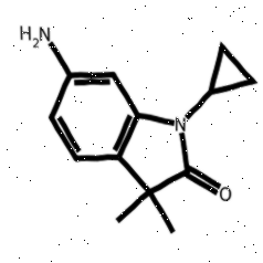 CC1(C)C(=O)N(C2CC2)c2cc(N)ccc21